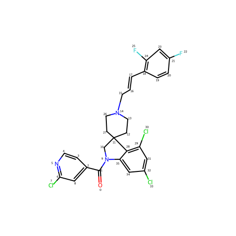 O=C(c1ccnc(Cl)c1)N1CC2(CCN(C/C=C/c3ccc(F)cc3F)CC2)c2c(Cl)cc(Cl)cc21